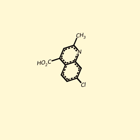 Cc1cc(C(=O)O)c2ccc(Cl)cc2n1